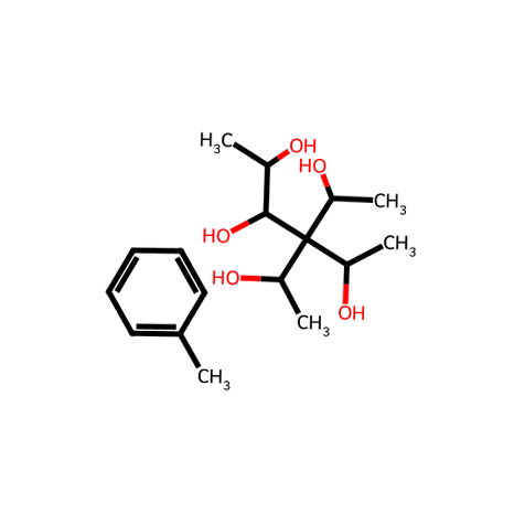 CC(O)C(O)C(C(C)O)(C(C)O)C(C)O.Cc1ccccc1